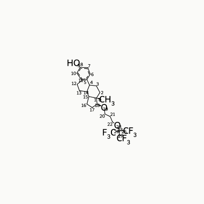 C[C@]12CCC3c4ccc(O)cc4CCC3C1CC[C@@H]2OCCCOC(C(F)(F)F)(C(F)(F)F)C(F)(F)F